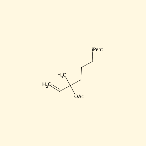 C=CC(C)(CCCC(C)CCC)OC(C)=O